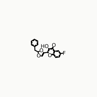 O=c1c(O)c(C2=COC(Cc3ccccc3)O2)oc2ccc(F)cc12